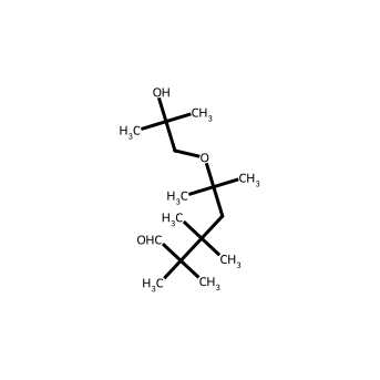 CC(C)(O)COC(C)(C)CC(C)(C)C(C)(C)C=O